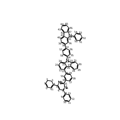 C1=CCCC(c2cc(-c3ccccc3)nc(-c3cccc(-c4cccc5c4c4ccccc4n5-c4ccc(-c5ccc6c7ccccc7n(-c7ccccc7)c6c5)cc4)c3)n2)=C1